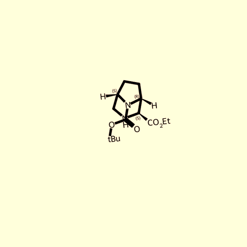 CCOC(=O)[C@H]1NC[C@@H]2CC[C@H]1N2C(=O)OC(C)(C)C